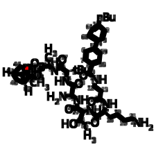 CCCCc1ccc(-c2ccc(C(=O)NCCC(=O)N[C@@H](CCCCN)C(=O)N[C@H](C(=O)N[C@@H](N)C(=O)N[C@H](C(=O)N[C@@H](C)B3OC4C[C@@H]5C[C@@H](C5(C)C)[C@]4(C)O3)C(C)(C)C)[C@@H](C)O)cc2)cc1